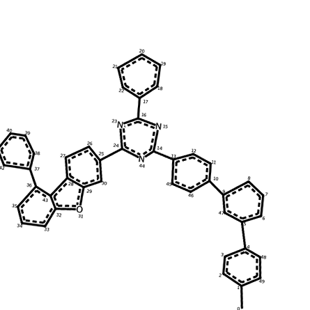 Cc1ccc(-c2cccc(-c3ccc(-c4nc(-c5ccccc5)nc(-c5ccc6c(c5)oc5cccc(-c7ccccc7)c56)n4)cc3)c2)cc1